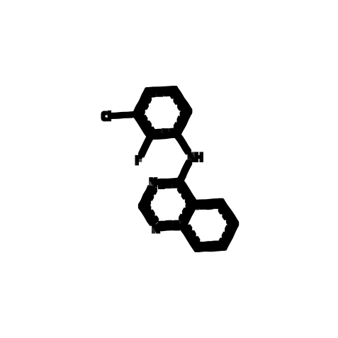 Fc1c(Cl)cccc1Nc1ncnc2ccccc12